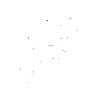 C/C=C/Cn1c(N2CCC[C@H](N)C2)nc2c1c(=O)n(CC(=O)c1ccccc1OCC(=O)NC)c(=O)n2C